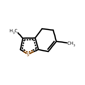 CC1=Cc2scc(C)c2CC1